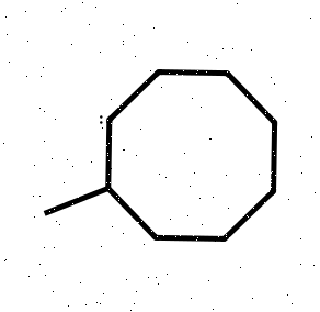 CC1[C]CCCCCC1